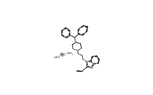 CCc1nc2ccccc2n1CCCN1CCN(C(c2ccccc2)c2ccccc2)CC1.Cl.Cl.Cl.O